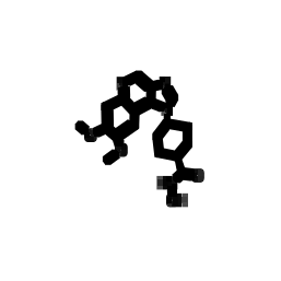 COc1cc2ncc3ncn([C@H]4CC[C@H](C(=O)NO)CC4)c3c2cc1OC